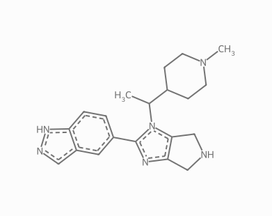 CC(C1CCN(C)CC1)n1c(-c2ccc3[nH]ncc3c2)nc2c1CNC2